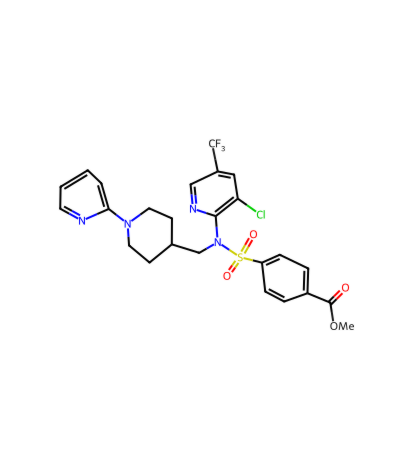 COC(=O)c1ccc(S(=O)(=O)N(CC2CCN(c3ccccn3)CC2)c2ncc(C(F)(F)F)cc2Cl)cc1